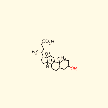 C[C@H](CCC(=O)O)C1CC[C@H]2C3CCC4CC(O)CCC4(C)[C@H]3CCC12C